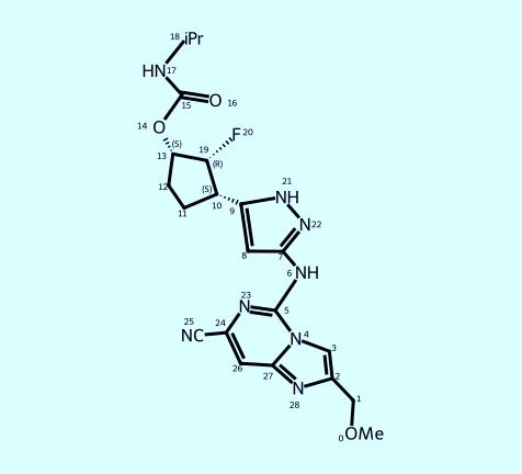 COCc1cn2c(Nc3cc([C@@H]4CC[C@H](OC(=O)NC(C)C)[C@@H]4F)[nH]n3)nc(C#N)cc2n1